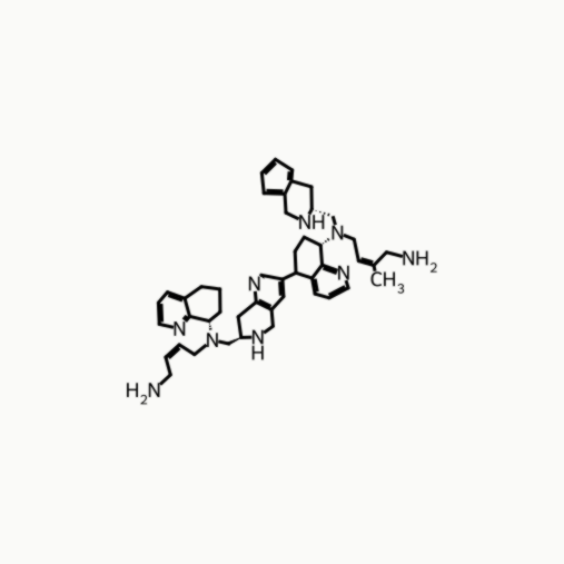 C/C(=C/CN(C[C@H]1Cc2ccccc2CN1)[C@H]1CCC(c2cnc3c(c2)CN[C@@H](CN(C/C=C\CN)[C@H]2CCCc4cccnc42)C3)c2cccnc21)CN